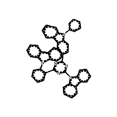 c1ccc(-n2c3ccccc3c3cc(-c4nc(-c5ccccc5-n5c6ccccc6c6ccccc65)nc(-n5c6ccccc6c6ccccc65)n4)ccc32)cc1